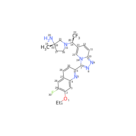 CCOc1cc2nc(-c3nnc4ccc([C@@H](N5CC[C@](C)(N)C5)C(F)(F)F)cn34)ccc2cc1F